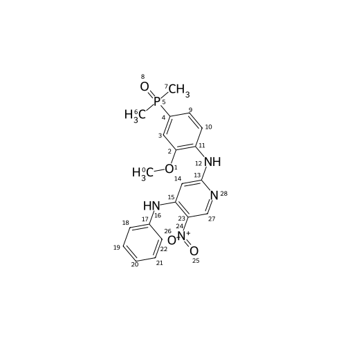 COc1cc(P(C)(C)=O)ccc1Nc1cc(Nc2ccccc2)c([N+](=O)[O-])cn1